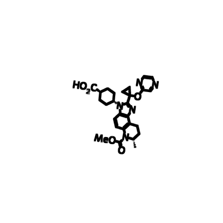 COC(=O)N1c2ccc3c(nc(C4(Oc5cnccn5)CC4)n3[C@H]3CC[C@H](C(=O)O)CC3)c2CC[C@@H]1C